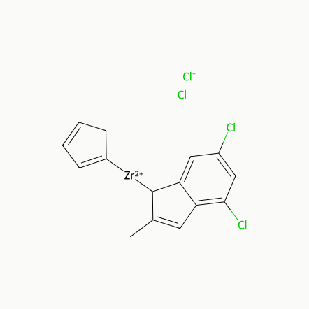 CC1=Cc2c(Cl)cc(Cl)cc2[CH]1[Zr+2][C]1=CC=CC1.[Cl-].[Cl-]